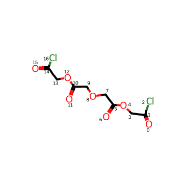 O=C(Cl)COC(=O)COCC(=O)OCC(=O)Cl